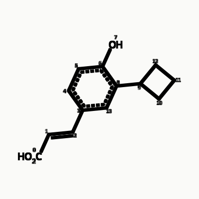 O=C(O)/C=C/c1ccc(O)c(C2CCC2)c1